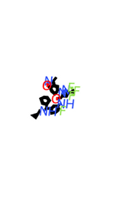 Cc1noc2ccc(-n3nc(C(F)(F)F)cc3C(=O)Nc3cc(C(NCC4CC4)c4ccccc4)ccc3F)cc12